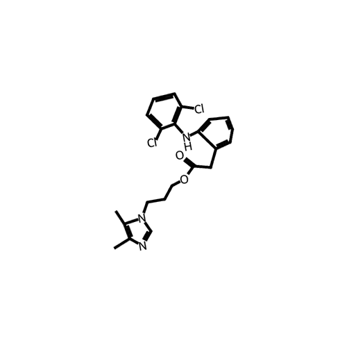 Cc1ncn(CCCOC(=O)Cc2ccccc2Nc2c(Cl)cccc2Cl)c1C